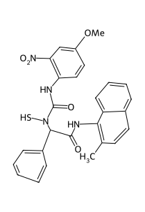 COc1ccc(NC(=O)N(S)C(C(=O)Nc2c(C)ccc3ccccc23)c2ccccc2)c([N+](=O)[O-])c1